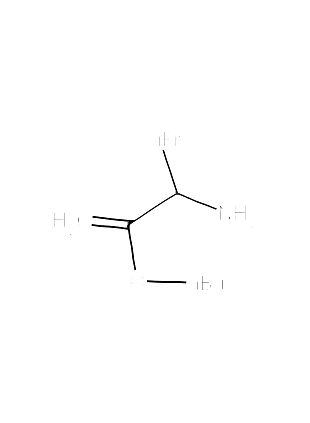 C=C(OCCCC)C(N)C(C)C